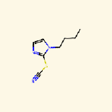 CCCCn1ccnc1SC#N